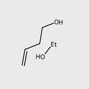 C=CCCO.CCO